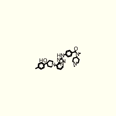 Cc1ccc(C2(O)CCN(c3cccn4nc(Nc5ccc(C(=O)N(C)C6CCN(C)CC6)cc5)nc34)CC2)cc1